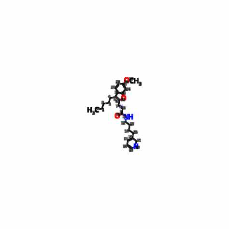 CCCCCc1c(/C=C/C(=O)NCCCCc2cccnc2)oc2cc(OC)ccc12